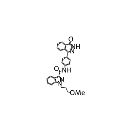 COCCCn1nc(C(=O)Nc2ccc(-c3n[nH]c(=O)c4ccccc34)cc2)c2ccccc21